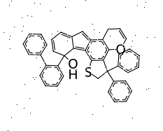 OC1(c2ccccc2-c2ccccc2)C=CC=C2C=c3c4c(c5c(c3=C21)SCC5(c1ccccc1)c1ccccc1)OC=CC4